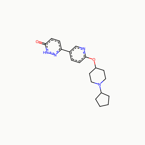 O=c1ccc(-c2ccc(OC3CCN(C4CCCC4)CC3)nc2)n[nH]1